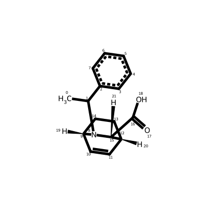 CC(c1ccccc1)N1[C@@H]2C=C[C@@H](CC2)[C@H]1C(=O)O